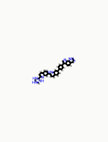 C/C=C\C1=C(N)C2N=CC(c3ccc(C4=CC5NC(c6ccc7ccc(C8NCNCN8)nc7c6)=CC=C5C=C4)cc3)=C2C=C1